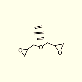 C(OCC1CO1)C1CO1.C=C.C=C.C=C